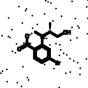 C[C@H](CO)N(C)c1cc(Br)ccc1[N+](=O)[O-]